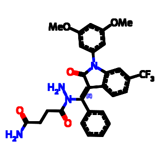 COc1cc(OC)cc(N2C(=O)/C(=C(/c3ccccc3)N(N)C(=O)CCC(N)=O)c3ccc(C(F)(F)F)cc32)c1